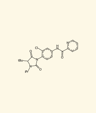 CC(C)N1C(=O)N(c2ccc(NC(=O)c3ccccn3)cc2Cl)C(=O)C1C(C)(C)C